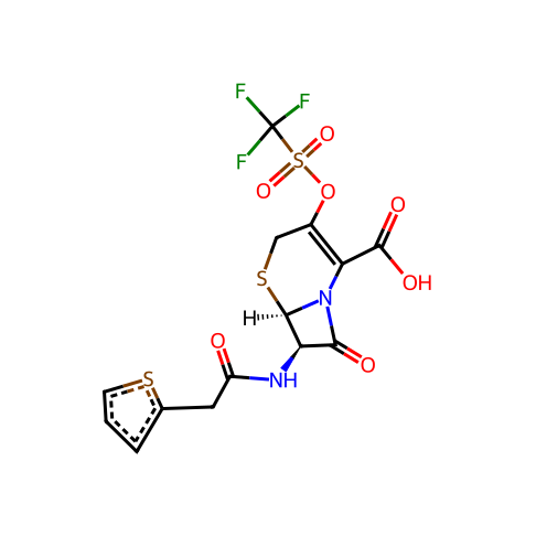 O=C(Cc1cccs1)N[C@@H]1C(=O)N2C(C(=O)O)=C(OS(=O)(=O)C(F)(F)F)CS[C@H]12